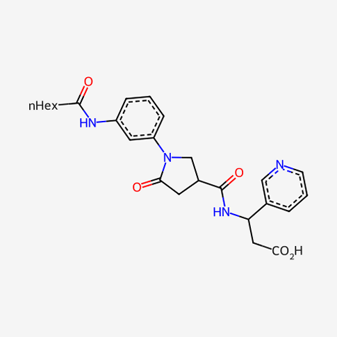 CCCCCCC(=O)Nc1cccc(N2CC(C(=O)NC(CC(=O)O)c3cccnc3)CC2=O)c1